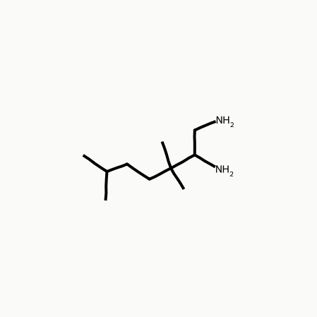 CC(C)CCC(C)(C)C(N)CN